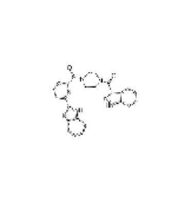 O=C(c1cccc(-c2nc3ccccc3[nH]2)n1)N1CCN(C(=O)c2n[nH]c3ccccc23)CC1